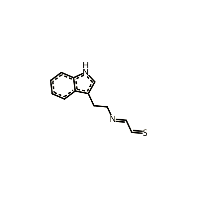 S=CC=NCCc1c[nH]c2ccccc12